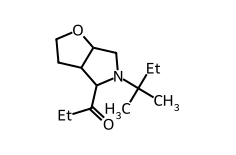 CCC(=O)C1C2CCOC2CN1C(C)(C)CC